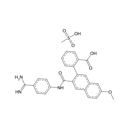 COc1ccc2cc(C(=O)Nc3ccc(C(=N)N)cc3)c(-c3ccccc3C(=O)O)cc2c1.CS(=O)(=O)O